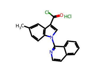 Cc1ccc2c(c1)c(C(=O)Cl)cn2-c1nccc2ccccc12.Cl